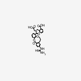 N=C(N)Nc1ccc2c(c1)CCCOc1c(cccc1C(=O)N(CC(=O)O)Cc1ccccc1C(=O)O)OC2=O